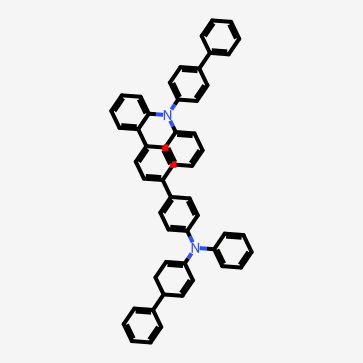 C1=CC(c2ccccc2)CC=C1N(c1ccccc1)c1ccc(-c2ccc(-c3ccccc3N(c3ccccc3)c3ccc(-c4ccccc4)cc3)cc2)cc1